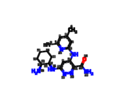 CCCc1cc(C)cc(Nc2cc(N[C@@H]3CCCC[C@@H]3N)nnc2C(N)=O)n1